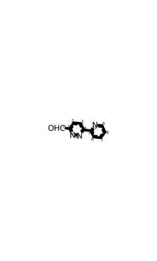 O=Cc1ccc(-c2ccccn2)nn1